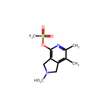 Cc1nc(OS(=O)(=O)C(F)(F)F)c2c(c1C)CN(C(=O)O)C2